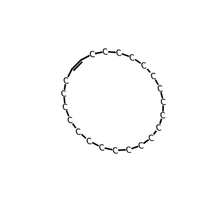 [CH]1/C=C\CCCCCCCCCCCCCCCCCCCC1